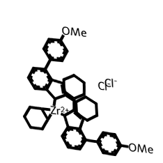 COc1ccc(-c2cccc3c2C=C(C2CCCCC2)[CH]3[Zr+2]2([CH]3C(C4CCCCC4)=Cc4c(-c5ccc(OC)cc5)cccc43)[CH]3CCCC[CH]32)cc1.[Cl-].[Cl-]